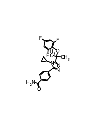 CC(C)(Oc1c(F)cc(F)cc1F)c1nnc(-c2ccc(C(N)=O)cc2)n1C1CC1